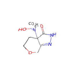 O=C(O)N(O)C12CCOCC1=NNC2=O